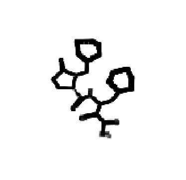 NC(=O)C(=O)C(Cc1ccccc1)NC(=O)[C@@H]1CCC(=O)N1Cc1ccccc1